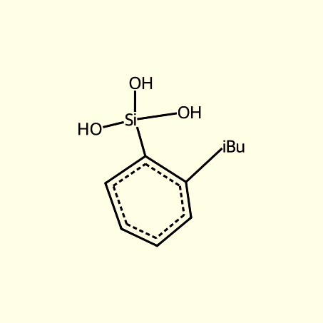 CCC(C)c1ccccc1[Si](O)(O)O